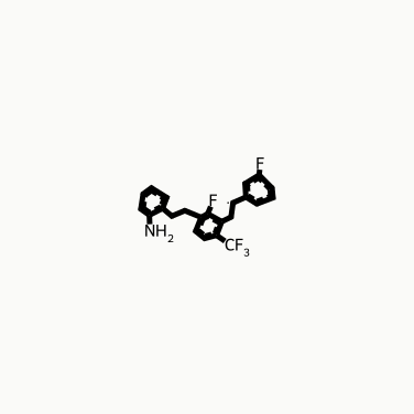 Nc1ccccc1CCc1ccc(C(F)(F)F)c(C[CH]c2cccc(F)c2)c1F